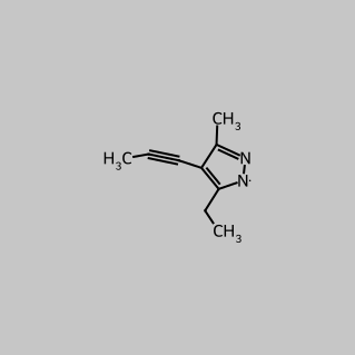 CC#CC1=C(CC)[N]N=C1C